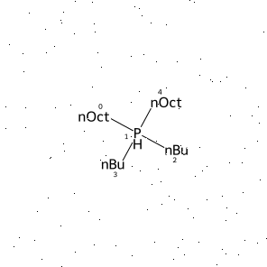 CCCCCCCC[PH](CCCC)(CCCC)CCCCCCCC